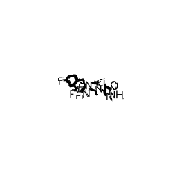 CC1c2ncc(Cc3ccc(F)cc3C(F)(F)F)n2C[C@@H](C)N1c1cn[nH]c(=O)c1Cl